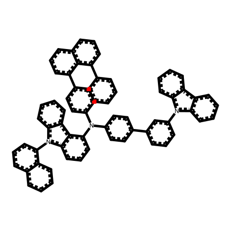 c1ccc(-c2cccc3cccc(-c4ccc(N(c5ccc(-c6cccc(-n7c8ccccc8c8ccccc87)c6)cc5)c5cccc6c5c5ccccc5n6-c5cccc6ccccc56)cc4)c23)cc1